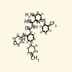 CN1CCC(c2ccc(C(=O)NC(=N)c3nc(Sc4ccccc4C(F)(F)F)ccc3N)c(NC3CCOCC3)c2)CC1